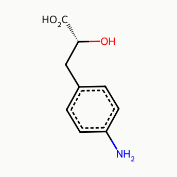 Nc1ccc(C[C@@H](O)C(=O)O)cc1